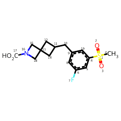 CS(=O)(=O)c1cc(F)cc(CC2CC3(C2)CN(C(=O)O)C3)c1